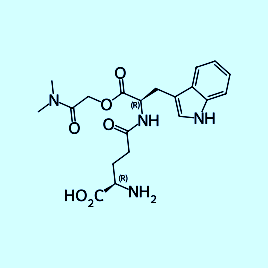 CN(C)C(=O)COC(=O)[C@@H](Cc1c[nH]c2ccccc12)NC(=O)CC[C@@H](N)C(=O)O